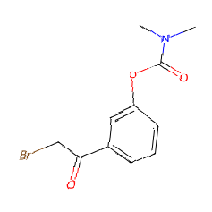 CN(C)C(=O)Oc1cccc(C(=O)CBr)c1